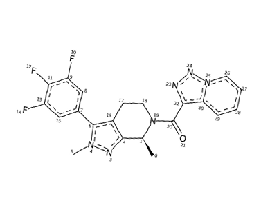 C[C@H]1c2nn(C)c(-c3cc(F)c(F)c(F)c3)c2CCN1C(=O)c1nnn2ccccc12